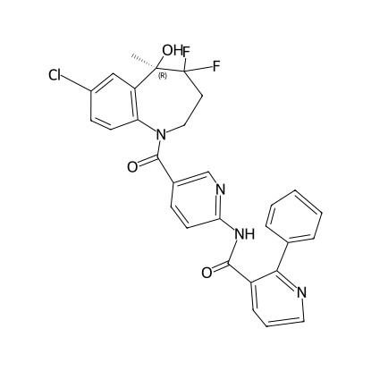 C[C@@]1(O)c2cc(Cl)ccc2N(C(=O)c2ccc(NC(=O)c3cccnc3-c3ccccc3)nc2)CCC1(F)F